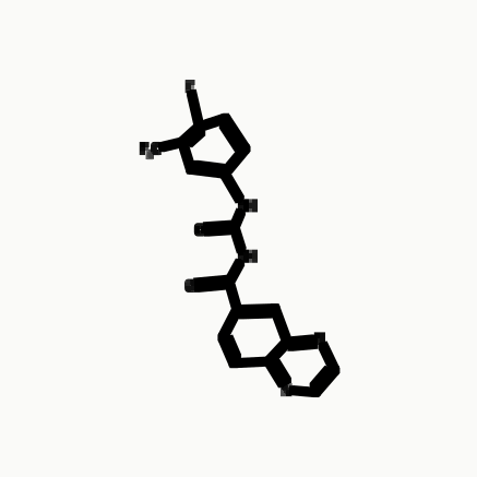 O=C(NC(=O)c1ccc2nccnc2c1)Nc1ccc(F)c(C(F)(F)F)c1